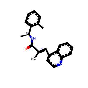 Cc1ccccc1[C@H](C)NC(=O)/C(C#N)=C/c1ccnc2ccccc12